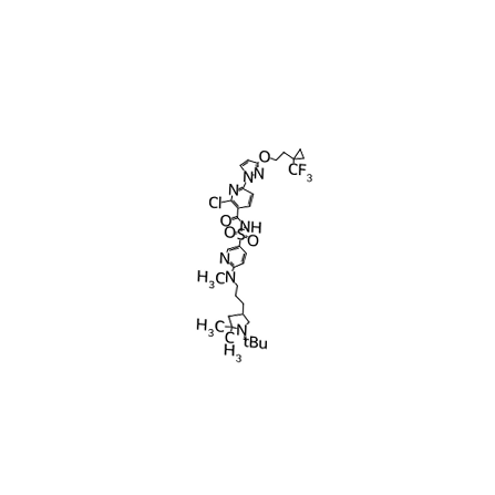 CN(CCCC1CN(C(C)(C)C)C(C)(C)C1)c1ccc(S(=O)(=O)NC(=O)c2ccc(-n3ccc(OCCC4(C(F)(F)F)CC4)n3)nc2Cl)cn1